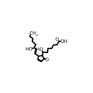 CCCCCC(O)/C=C/C1C=CC(=O)C1C(O)CCCCCC(=O)O